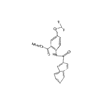 COC(=O)c1cc(OC(F)F)ccc1NC(=O)c1ccc2ccccc2c1